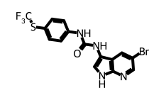 O=C(Nc1ccc(SC(F)(F)F)cc1)Nc1c[nH]c2ncc(Br)cc12